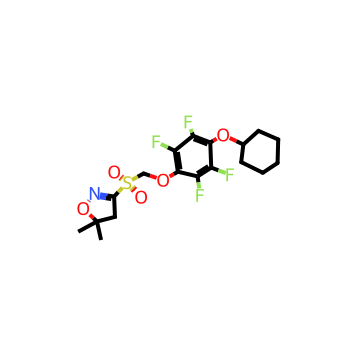 CC1(C)CC(S(=O)(=O)COc2c(F)c(F)c(OC3CCCCC3)c(F)c2F)=NO1